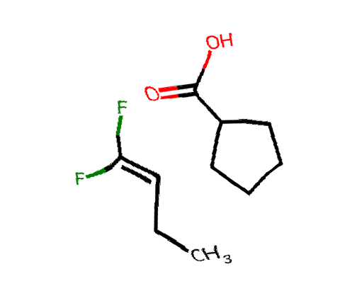 CCC=C(F)F.O=C(O)C1CCCC1